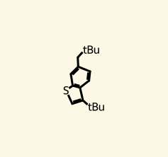 CC(C)(C)Cc1ccc2c(C(C)(C)C)csc2c1